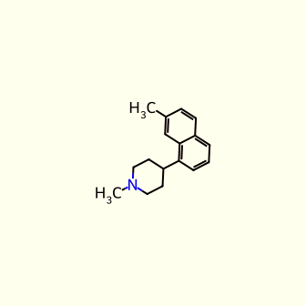 Cc1ccc2cccc(C3CCN(C)CC3)c2c1